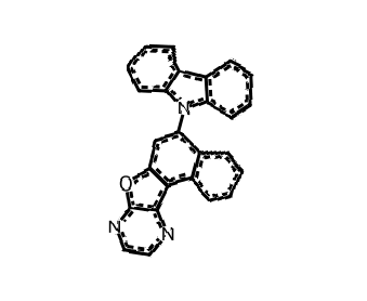 c1ccc2c(c1)c(-n1c3ccccc3c3ccccc31)cc1oc3nccnc3c12